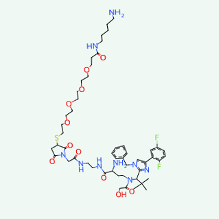 CC(C)(C)[C@H](c1nc(-c2cc(F)ccc2F)cn1Cc1ccccc1)N(CC[C@H](N)C(=O)NCCNC(=O)CN1C(=O)CC(SCCOCCOCCOCCOCCC(=O)NCCCCCN)C1=O)C(=O)CO